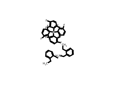 CCc1ccccc1C[NH2+]Cc1ccccc1CC.Fc1ccc(F)c([B-](c2c(F)ccc(F)c2F)(c2c(F)ccc(F)c2F)c2c(F)ccc(F)c2F)c1F